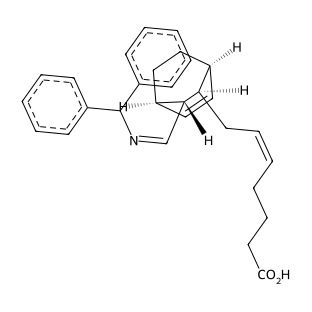 O=C(O)CCC/C=C\C[C@H]1[C@H](/C=N\C(c2ccccc2)c2ccccc2)[C@H]2C=C[C@@H]1CC2